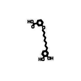 O=C(O)c1cccc(OCCCCCCCCc2ccc(O)c(O)c2)c1